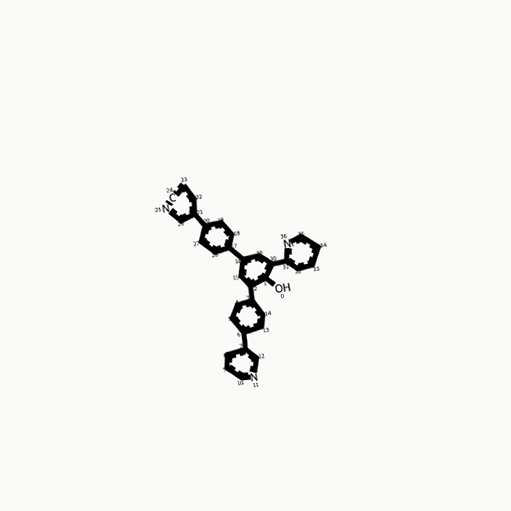 Oc1c(-c2ccc(-c3cccnc3)cc2)cc(-c2ccc(-c3cccnc3)cc2)cc1-c1ccccn1